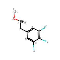 CC(C)(C)O[SiH2]Cc1cc(F)c(F)c(F)c1